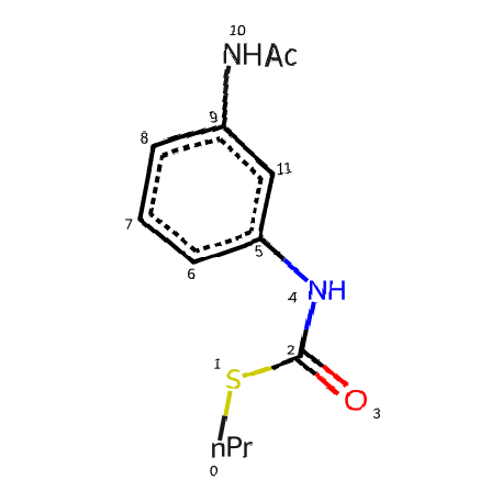 CCCSC(=O)Nc1cccc(NC(C)=O)c1